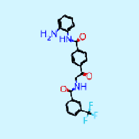 Nc1ccccc1NC(=O)c1ccc(C(=O)CNC(=O)c2cccc(C(F)(F)F)c2)cc1